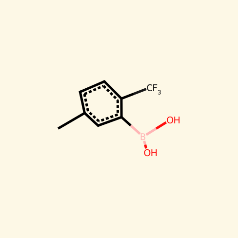 Cc1ccc(C(F)(F)F)c(B(O)O)c1